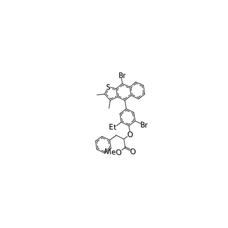 CCc1cc(-c2c3ccccc3c(Br)c3sc(C)c(C)c23)cc(Br)c1OC(Cc1ccccc1)C(=O)OC